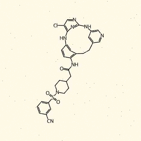 N#Cc1cccc(S(=O)(=O)N2CCC(CC(=O)Nc3ccc4cc3CCc3cncc(c3)Nc3ncc(Cl)c(n3)N4)CC2)c1